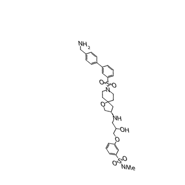 CNS(=O)(=O)c1cccc(OCC(O)CN[C@H]2COC3(CCN(S(=O)(=O)c4cccc(-c5ccc(CN)cc5)c4)CC3)C2)c1